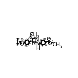 CCOC(=O)c1ccc(Nc2ncc(SC)c(-c3ccc(OC(F)(F)F)cc3)n2)cc1